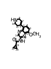 COc1ccc(C2=CCNCC2)c2ncc(NC(=O)C3CC3)nc12